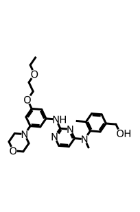 CCOCCOc1cc(Nc2nccc(N(C)c3cc(CO)ccc3C)n2)cc(N2CCOCC2)c1